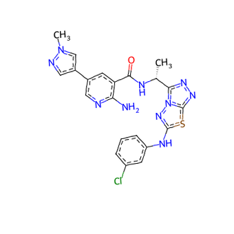 C[C@@H](NC(=O)c1cc(-c2cnn(C)c2)cnc1N)c1nnc2sc(Nc3cccc(Cl)c3)nn12